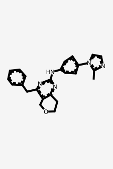 Cc1nccn1-c1ccc(Nc2nc3c(c(Cc4ccccc4)n2)COCC3)cc1